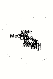 CNc1ncc2cc(-c3c(Cl)c(OC)cc(OC)c3Cl)c(=O)n(CCOC3CN(C(=O)C(C#N)=CC(C)(C)NC)C3)c2n1